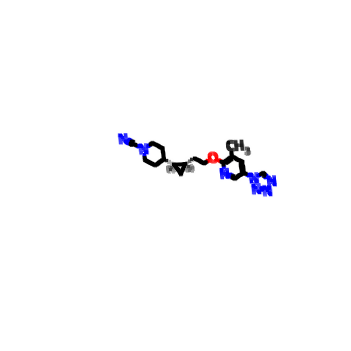 Cc1cc(-n2cnnn2)cnc1OCC[C@@H]1C[C@@H]1C1CCN(C#N)CC1